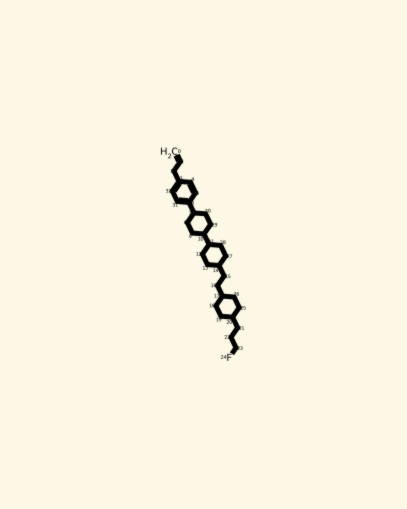 C=CCc1ccc(C2CCC(C3CCC(CCC4CCC(CCCF)CC4)CC3)CC2)cc1